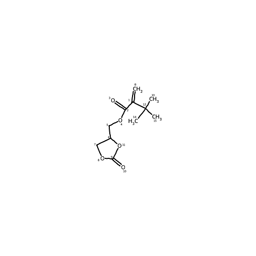 C=C(C(=O)OCC1COC(=O)O1)C(C)(C)C